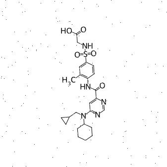 Cc1cc(S(=O)(=O)NCC(=O)O)ccc1NC(=O)c1cc(N(CC2CC2)C2CCCCC2)ncn1